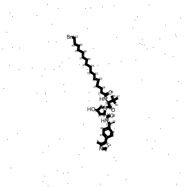 Cc1ncsc1-c1ccc([C@H](C)NC(=O)[C@@H]2C[C@@H](O)CN2C(=O)[C@@H](NC(=O)CCCCCCCCCCCCCCCCBr)C(C)(C)C)cc1